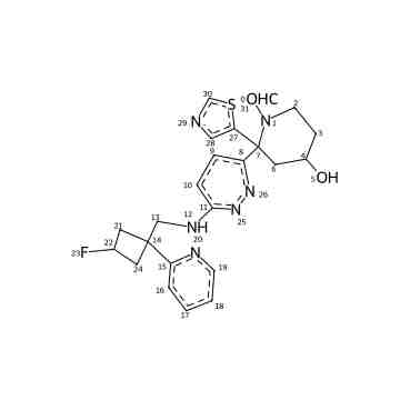 O=CN1CCC(O)CC1(c1ccc(NCC2(c3ccccn3)CC(F)C2)nn1)c1cncs1